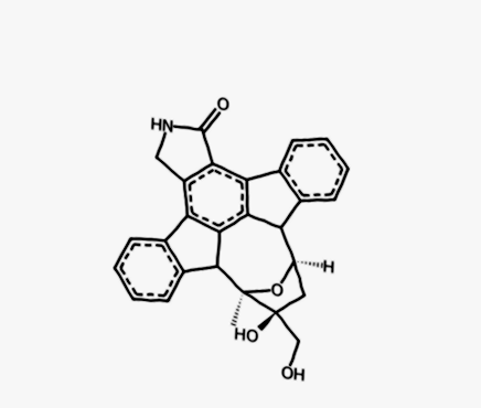 C[C@]12O[C@H](C[C@]1(O)CO)C1c3ccccc3-c3c4c(c5c(c31)C2c1ccccc1-5)CNC4=O